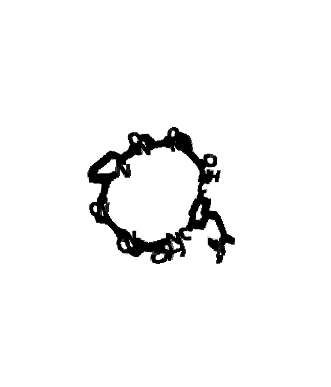 CC(Cc1cc2cc(c1)CNC(=O)c1coc(n1)-c1coc(n1)-c1cccc(n1)-c1nc(co1)-c1nc(co1)C(=O)NC2)N(C)C